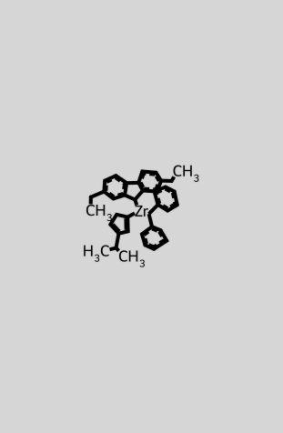 CCc1ccc2c(c1)[CH]([Zr]([C]1=CC(C(C)C)=CC1)=[C](c1ccccc1)c1ccccc1)c1cc(CC)ccc1-2